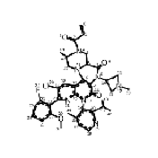 C=CC(=O)N1CC2C(=O)N(C3CN(C)C3)c3c(c4cc(Cl)c(-c5c(F)cccc5OC)nc4n(-c4c(C)ccnc4C(C)C)c3=O)N2CC1C